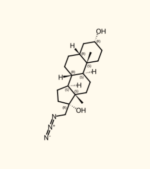 C[C@]12CC[C@@H](O)C[C@H]1CC[C@@H]1[C@@H]2CC[C@@]2(C)[C@H]1CC[C@]2(O)CN=[N+]=[N-]